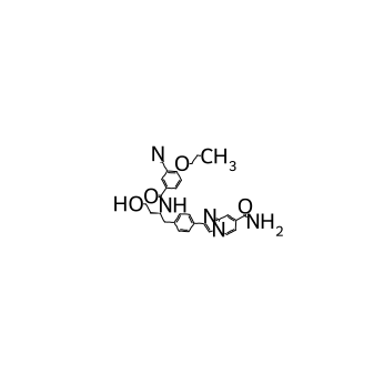 CCCOc1ccc(C(=O)N[C@H](CCO)Cc2ccc(-c3cn4ccc(C(N)=O)cc4n3)cc2)cc1C#N